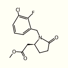 COC(=O)C[C@@H]1CCC(=O)N1Cc1cccc(Cl)c1F